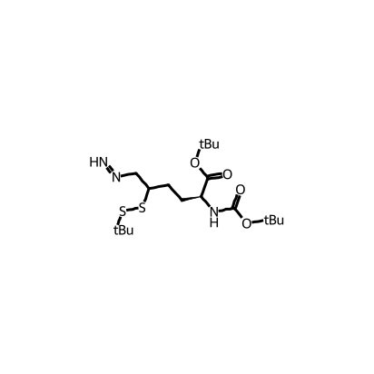 CC(C)(C)OC(=O)N[C@@H](CCC(CN=N)SSC(C)(C)C)C(=O)OC(C)(C)C